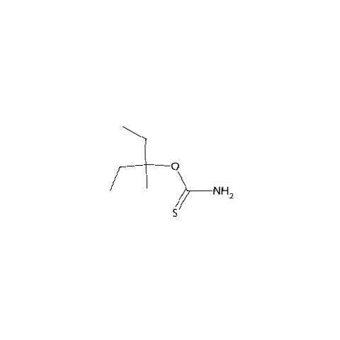 CCC(C)(CC)OC(N)=S